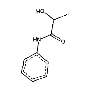 [CH2]C(O)C(=O)Nc1ccccc1